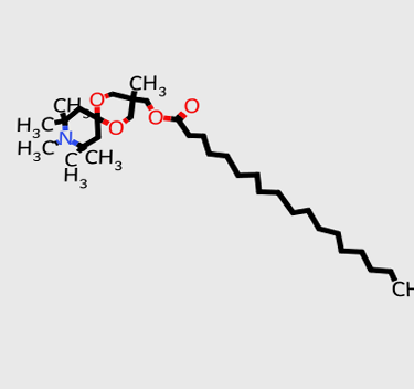 CCCCCCCCCCCCCCCCCC(=O)OCC1(C)COC2(CC(C)(C)N(C)C(C)(C)C2)OC1